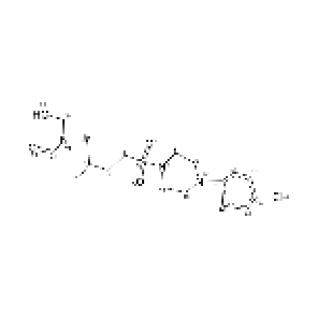 CC(CCS(=O)(=O)N1CCN(c2ccc(Cl)cc2)CC1)CN(C=O)CO